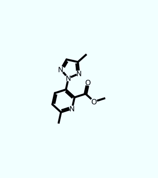 COC(=O)c1nc(C)ccc1-n1ncc(C)n1